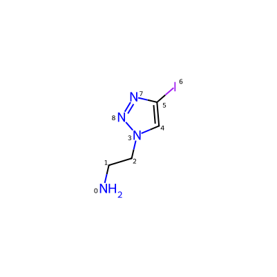 NCCn1cc(I)nn1